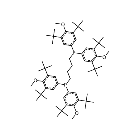 COc1c(C(C)(C)C)cc(P(CCCCP(c2cc(C(C)(C)C)c(OC)c(C(C)(C)C)c2)c2cc(C(C)(C)C)c(OC)c(C(C)(C)C)c2)c2cc(C(C)(C)C)c(OC)c(C(C)(C)C)c2)cc1C(C)(C)C